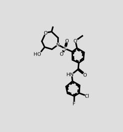 COc1ccc(C(=O)Nc2ccc(F)c(Cl)c2)cc1S(=O)(=O)N1CC(O)COC(C)C1